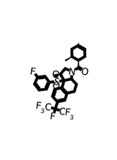 C[C@H]1C[C]=CC[C@H]1C(=O)N1CCC2(S(=O)(=O)c3cccc(F)c3)c3ccc(C(F)(C(F)(F)F)C(F)(F)F)cc3CCC12